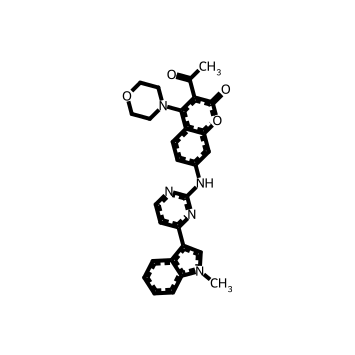 CC(=O)c1c(N2CCOCC2)c2ccc(Nc3nccc(-c4cn(C)c5ccccc45)n3)cc2oc1=O